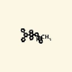 CCn1c(-c2cccc(-c3c4ccccc4c(-c4cc(-c5ccccc5)cc(-c5ccccc5)c4)c4ccccc34)c2)nc2ccccc21